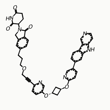 O=C1CCC(N2Cc3cc(CCCOCC#Cc4ccc(O[C@H]5C[C@H](Oc6ccc(-c7ccc8c(c7)[nH]c7ccncc78)cn6)C5)cn4)ccc3C2=O)C(=O)N1